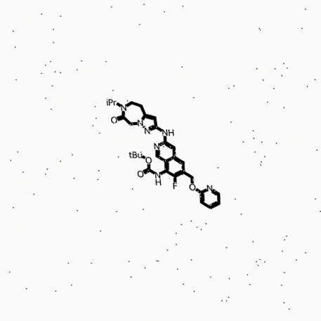 CC(C)N1CCc2cc(Nc3cc4cc(COc5ccccn5)c(F)c(NC(=O)OC(C)(C)C)c4cn3)nn2CC1=O